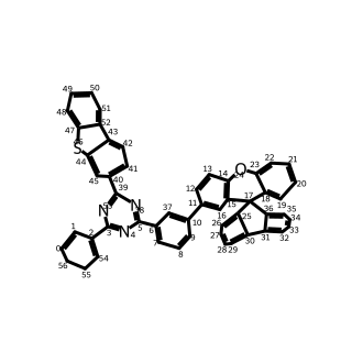 C1=CC(c2nc(-c3cccc(-c4ccc5c(c4)C4(c6ccccc6O5)c5ccccc5-c5ccccc54)c3)nc(-c3ccc4c(c3)sc3ccccc34)n2)=CCC1